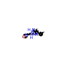 Cc1cccc(-c2cc(C)c3c(N)nc(NCCCN4CCOCC4)nc3n2)c1